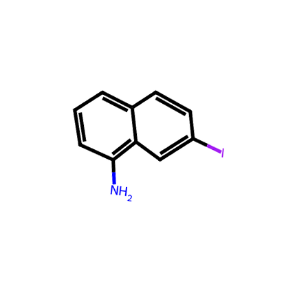 Nc1cccc2ccc(I)cc12